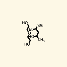 CCCCC(CC)CC(C)O.OCCOCCO